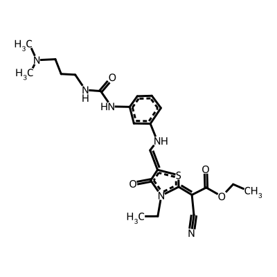 CCOC(=O)C(C#N)=c1sc(=CNc2cccc(NC(=O)NCCCN(C)C)c2)c(=O)n1CC